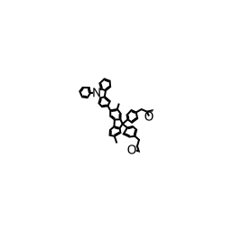 Cc1ccc2c(c1)C(c1ccc(CC3CO3)cc1)(c1ccc(CC3CO3)cc1)c1cc(C)c(-c3ccc4c(c3)c3ccccc3n4-c3ccccc3)cc1-2